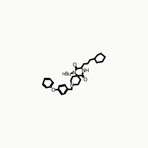 CCCCN1C(=O)C(CCCC2CCCCC2)NC(=O)C12CCN(Cc1ccc(Oc3ccccc3)cc1)CC2